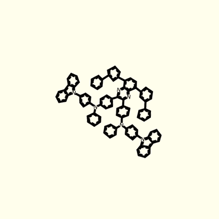 c1ccc(-c2cccc(-c3ccc(-c4cccc(-c5ccccc5)c4)c4nc(-c5ccc(N(c6ccccc6)c6ccc(-n7c8ccccc8c8ccccc87)cc6)cc5)c(-c5ccc(N(c6ccccc6)c6ccc(-n7c8ccccc8c8ccccc87)cc6)cc5)nc34)c2)cc1